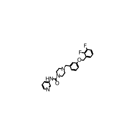 O=C(Nc1cccnc1)N1CCN(Cc2cccc(OCc3cccc(F)c3F)c2)CC1